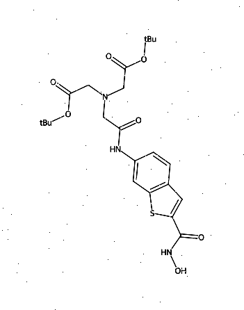 CC(C)(C)OC(=O)CN(CC(=O)Nc1ccc2cc(C(=O)NO)sc2c1)CC(=O)OC(C)(C)C